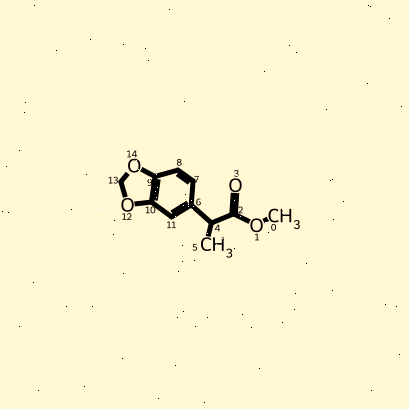 COC(=O)C(C)c1ccc2c(c1)OCO2